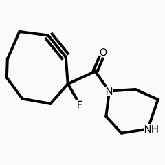 O=C(N1CCNCC1)C1(F)C#CCCCCC1